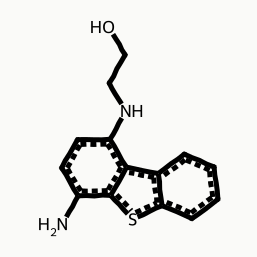 Nc1ccc(NCCO)c2c1sc1ccccc12